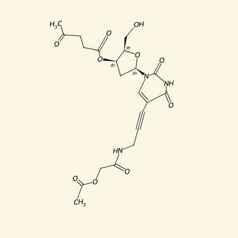 CC(=O)CCC(=O)O[C@@H]1C[C@H](n2cc(C#CCNC(=O)COC(C)=O)c(=O)[nH]c2=O)O[C@@H]1CO